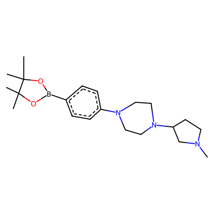 CN1CCC(N2CCN(c3ccc(B4OC(C)(C)C(C)(C)O4)cc3)CC2)C1